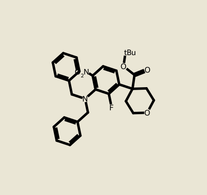 CC(C)(C)OC(=O)C1(c2ccc([N+](=O)[O-])c(N(Cc3ccccc3)Cc3ccccc3)c2F)CCOCC1